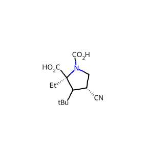 CC[C@@]1(C(=O)O)C(C(C)(C)C)[C@@H](C#N)CN1C(=O)O